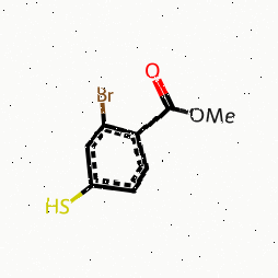 COC(=O)c1ccc(S)cc1Br